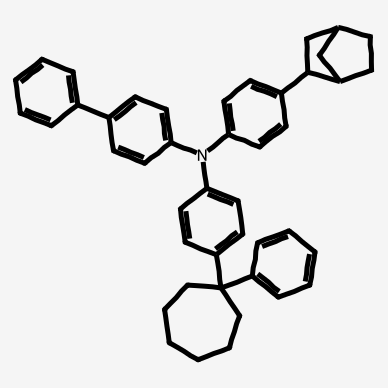 c1ccc(-c2ccc(N(c3ccc(C4CC5CCC4C5)cc3)c3ccc(C4(c5ccccc5)CCCCCC4)cc3)cc2)cc1